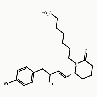 CC(C)c1ccc(CC(O)/C=C/[C@H]2CCCC(=O)N2CCCCCCC(=O)O)cc1